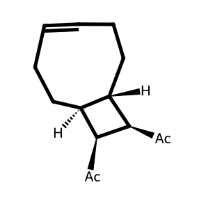 CC(=O)[C@@H]1[C@H]2CC/C=C\CC[C@@H]2[C@@H]1C(C)=O